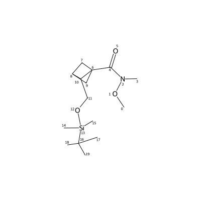 CON(C)C(=O)C12CC(C1)C2CO[Si](C)(C)C(C)(C)C